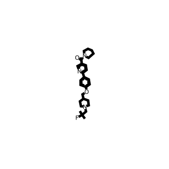 CC(C)(F)CN1CCC(COc2ccc(-c3ccc(C(=O)N4CCCCC4)cn3)cc2)CC1